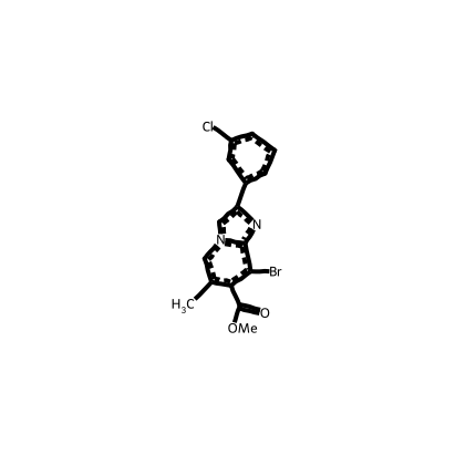 COC(=O)c1c(C)cn2cc(-c3cccc(Cl)c3)nc2c1Br